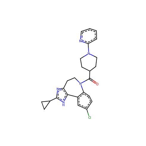 O=C(C1CCN(c2ccccn2)CC1)N1CCc2nc(C3CC3)[nH]c2-c2cc(Cl)ccc21